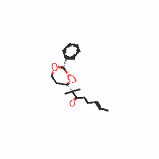 CC=CCCC(=O)C(C)(C)[C@@H]1CCO[C@H](c2ccccc2)O1